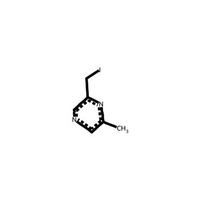 Cc1cncc(CI)n1